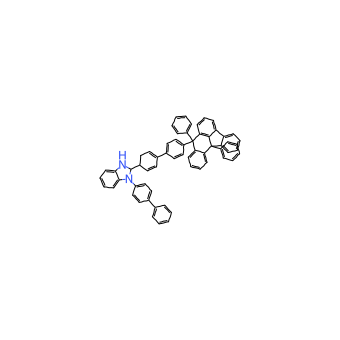 C1=CC(C2Nc3ccccc3N2c2ccc(-c3ccccc3)cc2)CC=C1c1ccc(C2(c3ccccc3)c3ccccc3C3(c4ccccc4)c4ccccc4-c4cccc2c43)cc1